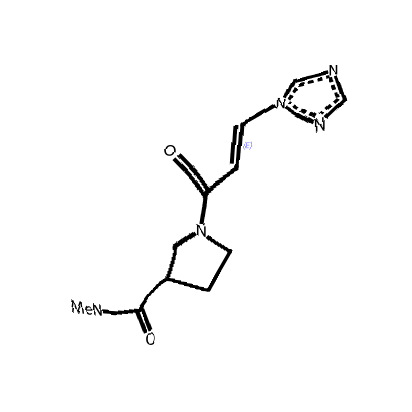 CNC(=O)C1CCN(C(=O)/C=C/n2cncn2)C1